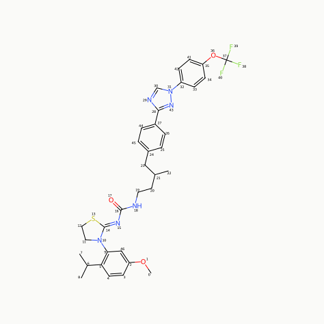 COc1ccc(C(C)C)c(N2CCS/C2=N\C(=O)NCCC(C)Cc2ccc(-c3ncn(-c4ccc(OC(F)(F)F)cc4)n3)cc2)c1